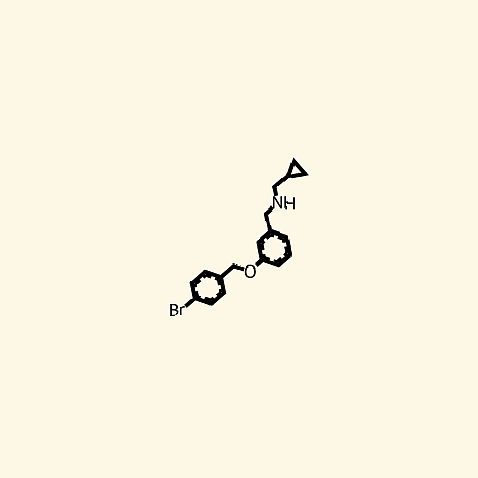 Brc1ccc(COc2cccc(CNCC3CC3)c2)cc1